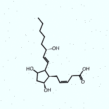 CCCCC[C@H](O)/C=C/C1C(O)C[C@H](O)[C@@H]1C/C=C\CC(=O)O